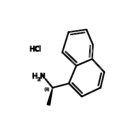 C[C@@H](N)c1cccc2ccccc12.Cl